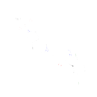 CS(=O)(=O)N1CC2CCN([C@H]3CO[C@H](c4cc(F)ccc4F)[C@@H](N)C3)CC2C1